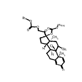 CCCCCOC(=O)O[C@]1(C(=O)COC(=O)OC(C)C)CC[C@H]2[C@@H]3CCC4=CC(=O)C=C[C@]4(C)[C@@]3(Cl)C(O)C[C@@]21C